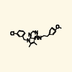 COc1ccc(CCNc2ncnc3c2c(C)c(C)n3Cc2cccc(Cl)c2)cc1